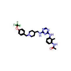 CC(=O)Nc1cccc(Nc2ncnc(NCC3CCN(Cc4ccc(OC(F)(F)F)cc4)CC3)n2)c1C